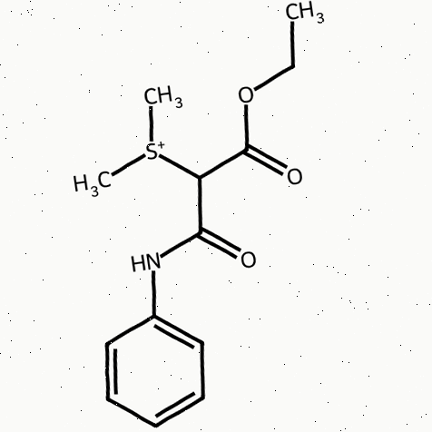 CCOC(=O)C(C(=O)Nc1ccccc1)[S+](C)C